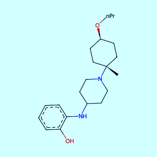 CCCO[C@H]1CC[C@](C)(N2CCC(Nc3ccccc3O)CC2)CC1